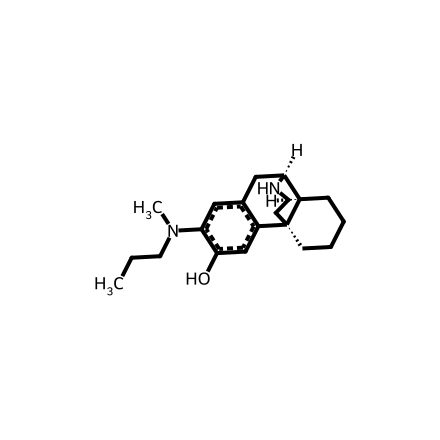 CCCN(C)c1cc2c(cc1O)[C@]13CCCC[C@@H]1[C@H](C2)NCC3